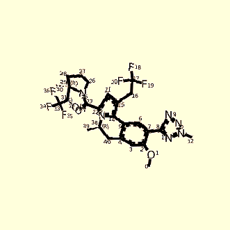 COc1cc2c(cc1-c1nnn(C)n1)-c1c(CC(F)(F)F)cc(C(=O)N3CCC[C@]3(C)[C@H](O)C(F)(F)F)n1[C@H](C)C2